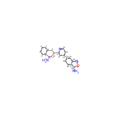 NC(=O)c1ccccc1C[CH]c1cc(-c2ccc3c(N)onc3c2)ccn1